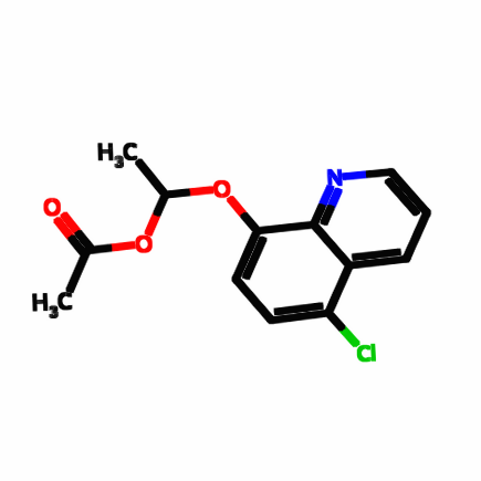 CC(=O)OC(C)Oc1ccc(Cl)c2cccnc12